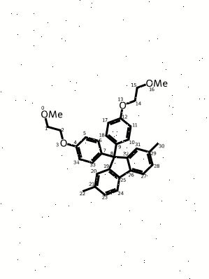 COCCOc1ccc(C2(c3ccc(OCCOC)cc3)c3cc(C)ccc3-c3ccc(C)cc32)cc1